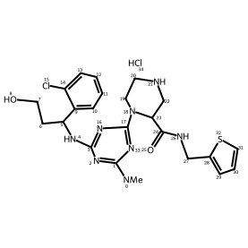 CNc1nc(NC(CCO)c2ccccc2Cl)nc(N2CCNCC2C(=O)NCc2cccs2)n1.Cl